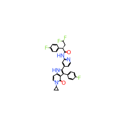 O=C(Nc1cc(-c2[nH]c3ccn(C4CC4)c(=O)c3c2-c2ccc(F)cc2)ccn1)[C@H](CC(F)F)c1ccc(F)cc1